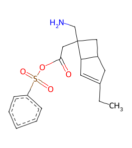 CCC1=CC2C(C1)CC2(CN)CC(=O)OS(=O)(=O)c1ccccc1